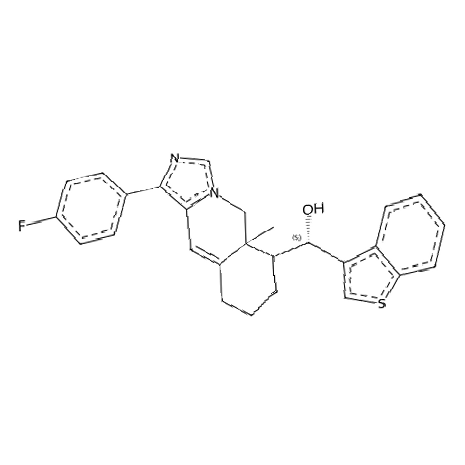 CC12Cn3cnc(-c4ccc(F)cc4)c3C=C1CCCC2[C@H](O)c1csc2ccccc12